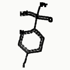 CC(C)S(=N)(=O)c1ccc(I)cn1